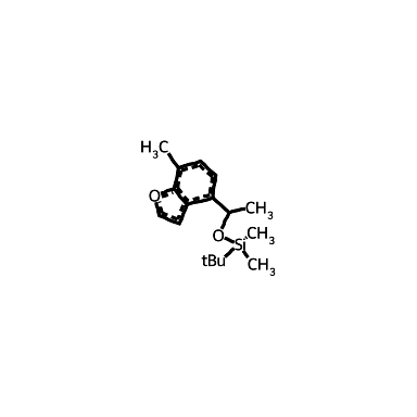 Cc1ccc(C(C)O[Si](C)(C)C(C)(C)C)c2ccoc12